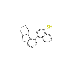 Sc1ccc(-c2cccc3c2C2CCCCC2C3)c2ccccc12